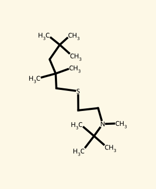 CN(CCSCC(C)(C)CC(C)(C)C)C(C)(C)C